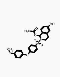 COc1ccc(Oc2ccc(S(=O)(=O)N3CCc4cc(O)ccc4C3OC(N)=O)cc2)cc1